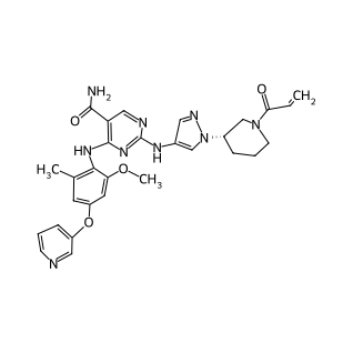 C=CC(=O)N1CCC[C@H](n2cc(Nc3ncc(C(N)=O)c(Nc4c(C)cc(Oc5cccnc5)cc4OC)n3)cn2)C1